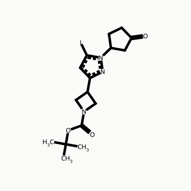 CC(C)(C)OC(=O)N1CC(c2cc(I)n(C3CCC(=O)C3)n2)C1